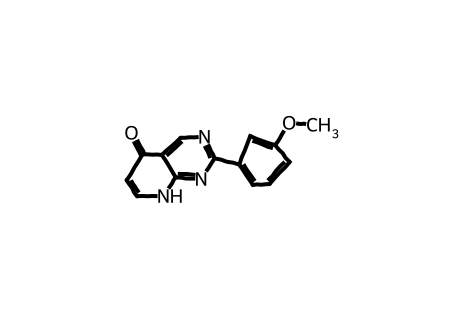 COc1cccc(-c2ncc3c(=O)cc[nH]c3n2)c1